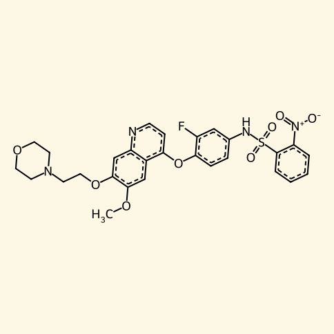 COc1cc2c(Oc3ccc(NS(=O)(=O)c4ccccc4[N+](=O)[O-])cc3F)ccnc2cc1OCCN1CCOCC1